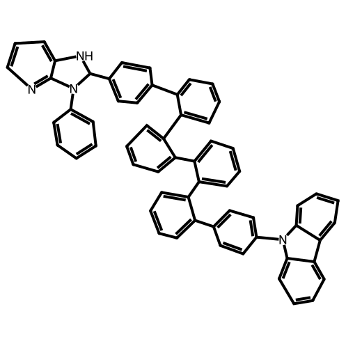 c1ccc(N2c3ncccc3NC2c2ccc(-c3ccccc3-c3ccccc3-c3ccccc3-c3ccccc3-c3ccc(-n4c5ccccc5c5ccccc54)cc3)cc2)cc1